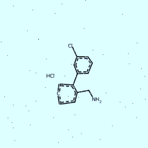 Cl.NCc1ccccc1-c1cccc(Cl)c1